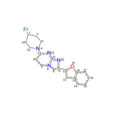 FC1CCN(c2ccn3cc(-c4cc5ccccc5o4)nc3n2)CC1